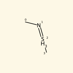 CN=[SH3]C